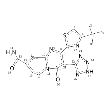 CC(C)(C)c1csc(-c2nc3cc(C(N)=O)ccn3c(=O)c2-c2nn[nH]n2)n1